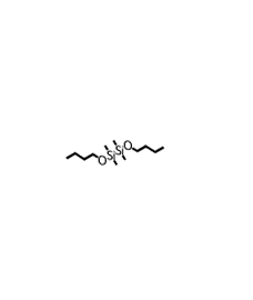 CCCCO[Si](C)(C)[Si](C)(C)OCCCC